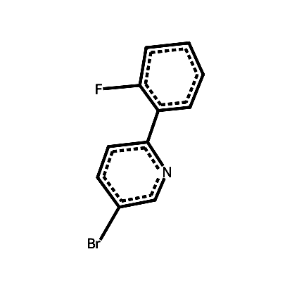 Fc1ccccc1-c1ccc(Br)cn1